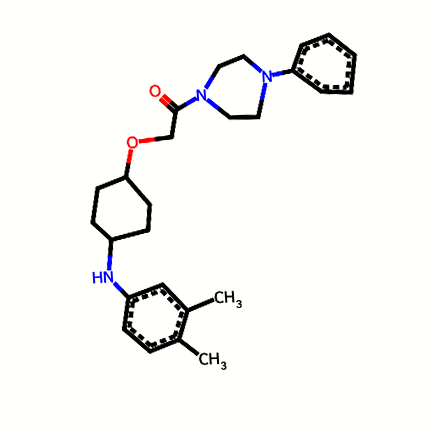 Cc1ccc(NC2CCC(OCC(=O)N3CCN(c4ccccc4)CC3)CC2)cc1C